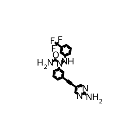 NC(=O)N(Nc1cccc(C(F)(F)F)c1)c1cccc(C#Cc2cnc(N)nc2)c1